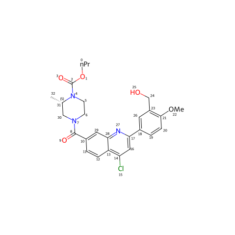 CCCOC(=O)N1CCN(C(=O)c2ccc3c(Cl)cc(-c4ccc(OC)c(CO)c4)nc3c2)C[C@@H]1C